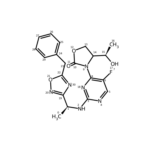 C[C@H](Nc1ncc(F)c(N2C(=O)OCC2[C@@H](C)O)n1)c1noc(Cc2ccccc2)n1